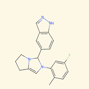 Cc1ccc(F)cc1N1C=C2CCCN2C1c1ccc2[nH]ncc2c1